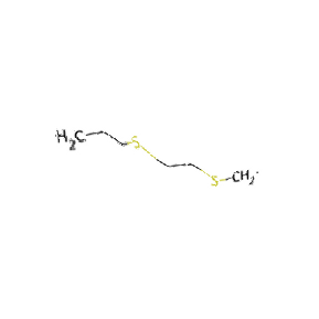 [CH2]CCSCCS[CH2]